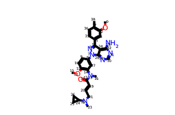 COc1cc(-c2nn(-c3ccc(OC)c(N(C)C(=O)/C=C/CN(C)C4CC4)c3)c3ncnc(N)c23)ccc1C